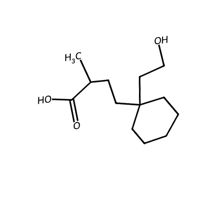 CC(CCC1(CCO)CCCCC1)C(=O)O